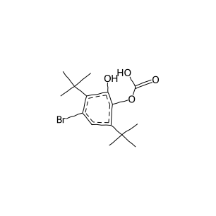 CC(C)(C)c1cc(Br)c(C(C)(C)C)c(O)c1OC(=O)O